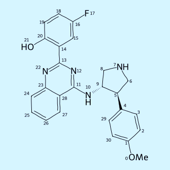 COc1ccc([C@@H]2CNC[C@H]2Nc2nc(-c3cc(F)ccc3O)nc3ccccc23)cc1